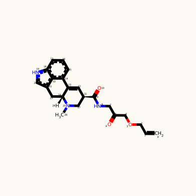 C=CCOCC(=O)CNC(=O)[C@@H]1C=C2c3cccc4[nH]cc(c34)C[C@H]2N(C)C1